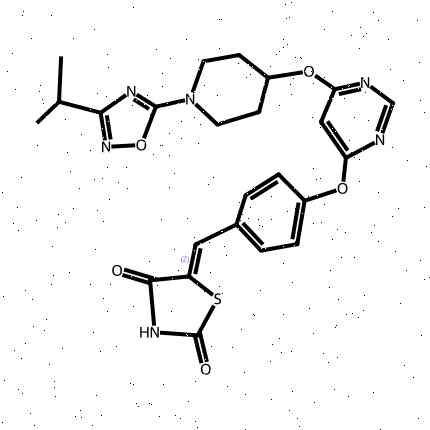 CC(C)c1noc(N2CCC(Oc3cc(Oc4ccc(/C=C5\SC(=O)NC5=O)cc4)ncn3)CC2)n1